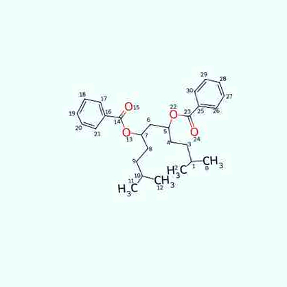 CC(C)CCC(CC(CCC(C)C)OC(=O)c1ccccc1)OC(=O)c1ccccc1